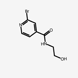 O=C(NCCO)c1ccnc(Br)c1